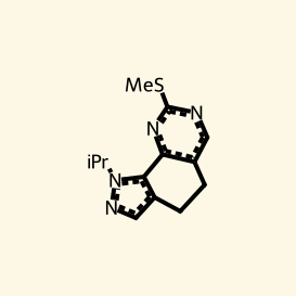 CSc1ncc2c(n1)-c1c(cnn1C(C)C)CC2